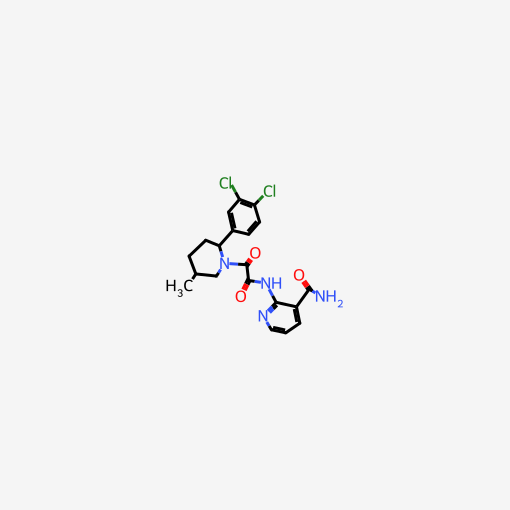 CC1CCC(c2ccc(Cl)c(Cl)c2)N(C(=O)C(=O)Nc2ncccc2C(N)=O)C1